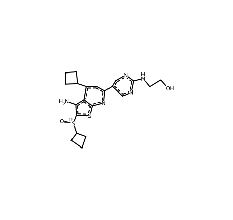 Nc1c([S@+]([O-])C2CCC2)sc2nc(-c3cnc(NCCO)nc3)cc(C3CCC3)c12